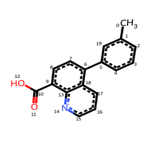 Cc1cccc(-c2ccc(C(=O)O)c3ncccc23)c1